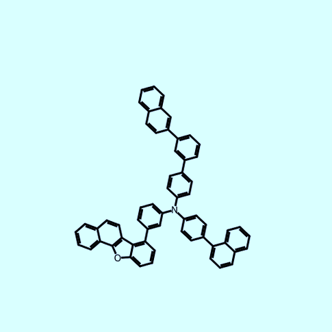 c1cc(-c2ccc(N(c3ccc(-c4cccc5ccccc45)cc3)c3cccc(-c4cccc5oc6c7ccccc7ccc6c45)c3)cc2)cc(-c2ccc3ccccc3c2)c1